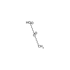 CCCCCCCCCOC(=O)CCCCCCCC(=O)O